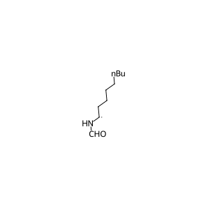 [CH2]CCCCCCC[CH]NC=O